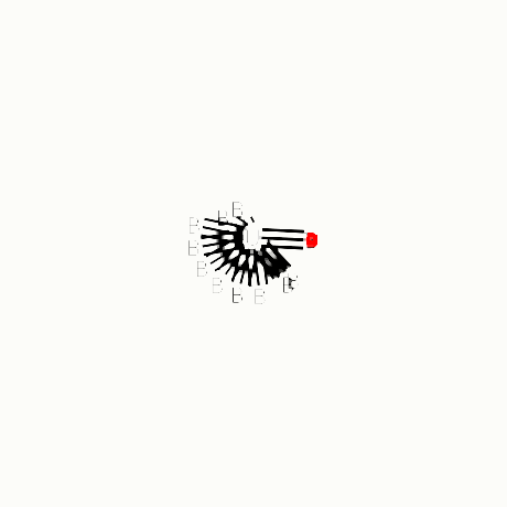 [B]#[U](#[B])(#[B])(#[B])(#[B])(#[B])(#[B])(#[B])(#[B])(#[B])(#[B])#[B]